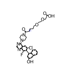 O=C(O)COCCOCC/C=C/C(=O)N1CCN(c2ncnc3c(F)c(-c4cc(O)cc5ccccc45)c(Cl)cc23)CC1